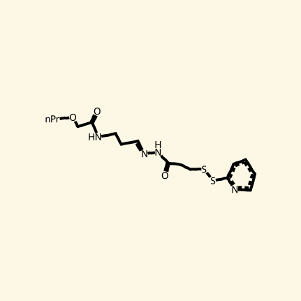 CCCOCC(=O)NCC/C=N/NC(=O)CCSSc1ccccn1